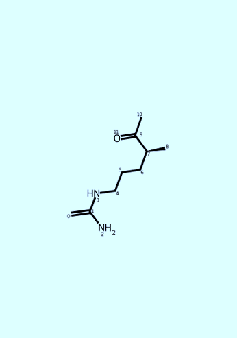 C=C(N)NCCC[C@H](C)C(C)=O